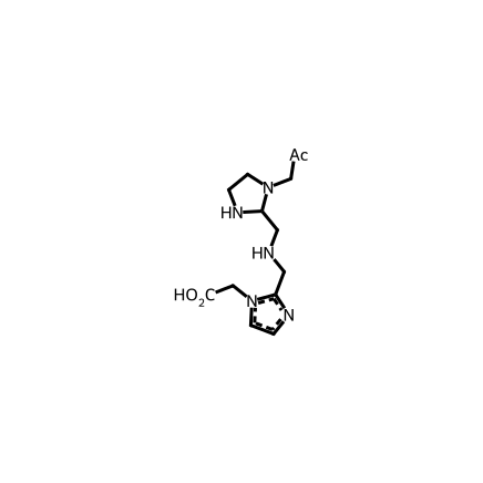 CC(=O)CN1CCNC1CNCc1nccn1CC(=O)O